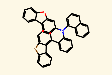 c1ccc(N(c2ccc3c(c2)oc2ccccc23)c2cccc3ccccc23)c(-c2cccc3sc4ccccc4c23)c1